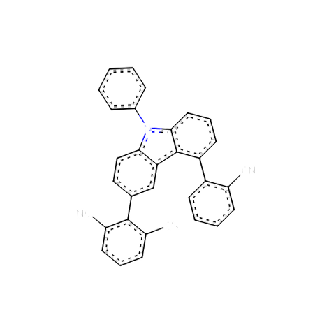 N#Cc1ccccc1-c1cccc2c1c1cc(-c3c(C#N)cccc3C#N)ccc1n2-c1ccccc1